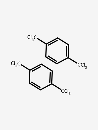 ClC(Cl)(Cl)c1ccc(C(Cl)(Cl)Cl)cc1.ClC(Cl)(Cl)c1ccc(C(Cl)(Cl)Cl)cc1